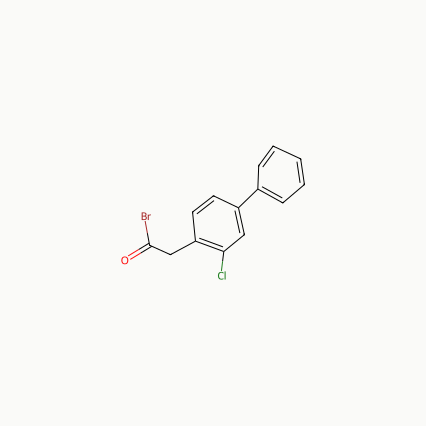 O=C(Br)Cc1ccc(-c2ccccc2)cc1Cl